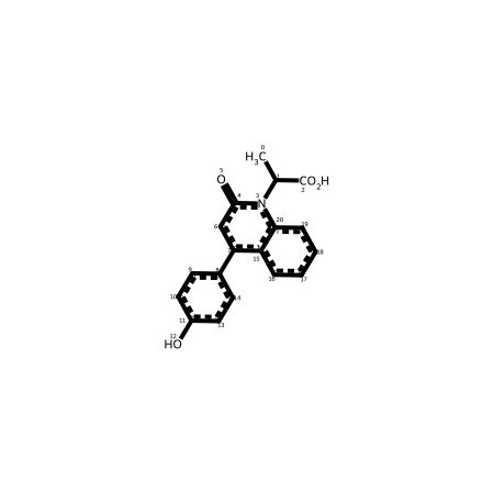 CC(C(=O)O)n1c(=O)cc(-c2ccc(O)cc2)c2ccccc21